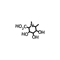 CC1C(O)C(O)C(O)C(C(=O)O)N1C